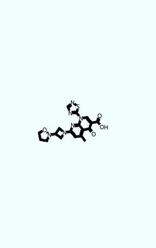 Cc1cc(N2CC(N3CCCO3)C2)nc2c1c(=O)c(C(=O)O)cn2-c1ncns1